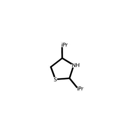 CC(C)C1CSC(C(C)C)N1